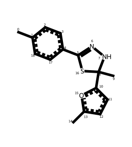 Cc1ccc(C2=NNC(C)(c3ccc(C)o3)S2)cc1